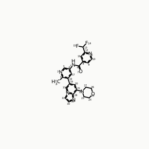 Cc1ncc(NC(=O)c2ccnc(C(F)F)c2)cc1-c1cc(N2CCOCC2)c2nccn2c1